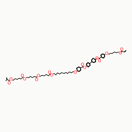 C=CC(=O)OCCCCCCOc1ccc(C(=O)Oc2ccc(-c3ccc(OC(=O)c4ccc(OCCCCCCCCCCCOC(=O)CCCCCOC(=O)CCCCCOC(=O)CCCCCOC(=O)C(=C)C)cc4)cc3)cc2)cc1